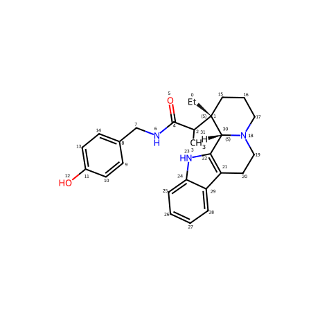 CC[C@@]1(C(C)C(=O)NCc2ccc(O)cc2)CCCN2CCc3c([nH]c4ccccc34)[C@@H]21